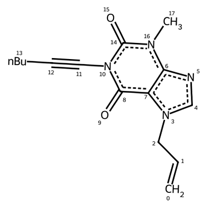 C=CCn1cnc2c1c(=O)n(C#CCCCC)c(=O)n2C